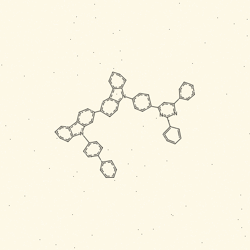 C1=C=C(c2nc(-c3ccccc3)cc(-c3ccc(-n4c5ccccc5c5cc(-c6ccc7c8ccccc8n(-c8ccc(-c9ccccc9)cc8)c7c6)ccc54)cc3)n2)C=CC=1